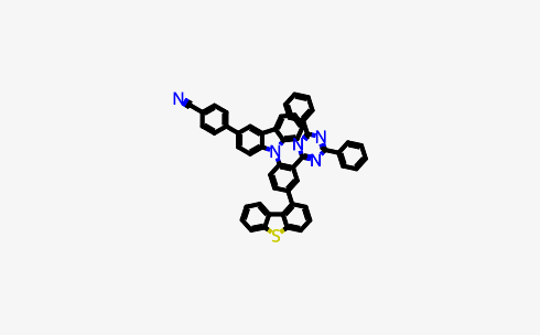 N#Cc1ccc(-c2ccc3c(c2)c2ccccc2n3-c2ccc(-c3cccc4sc5ccccc5c34)cc2-c2nc(-c3ccccc3)nc(-c3ccccc3)n2)cc1